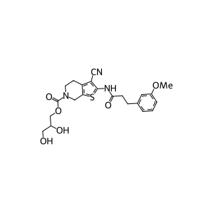 COc1cccc(CCC(=O)Nc2sc3c(c2C#N)CCN(C(=O)OCC(O)CO)C3)c1